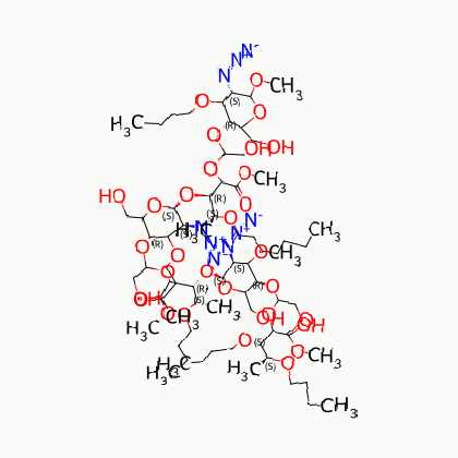 CCCCOC1[C@H](N=[N+]=[N-])C(OC)OC(CO)[C@@H]1OC(CO)OC(C(=O)OC)[C@H](O[C@@H]1OC(CO)[C@H](OC(CO)OC(C(=O)OC)[C@H](O[C@@H]2OC(CO)[C@H](OC(CO)OC(C(=O)OC)[C@@H](OCCCC)[C@H](C)OCCCC)C(OCCCC)[C@@H]2N=[N+]=[N-])[C@H](C)OCCCC)C(OCCCC)[C@@H]1N=[N+]=[N-])[C@H](C)OCCCC